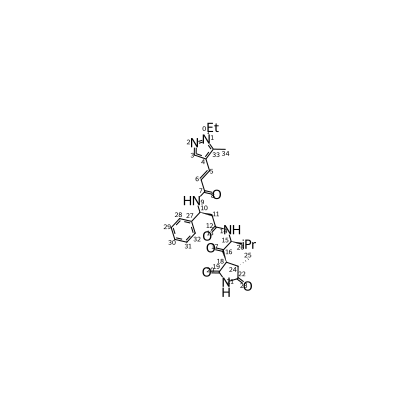 CCn1ncc(/C=C/C(=O)N[C@@H](CC(=O)N[C@H](C(=O)[C@@H]2C(=O)NC(=O)[C@H]2C)C(C)C)c2ccccc2)c1C